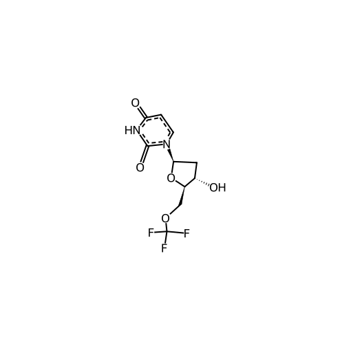 O=c1ccn([C@H]2C[C@H](O)[C@@H](COC(F)(F)F)O2)c(=O)[nH]1